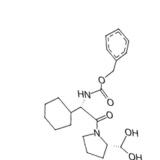 O=C(N[C@H](C(=O)N1CCC[C@H]1C(O)O)C1CCCCC1)OCc1ccccc1